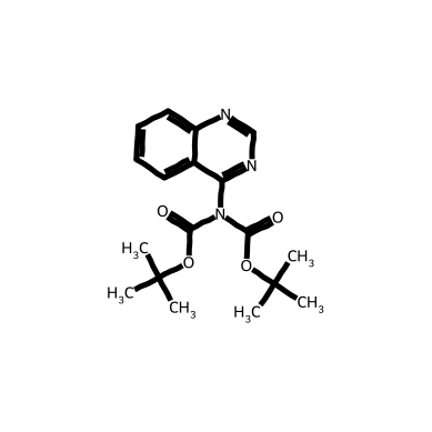 CC(C)(C)OC(=O)N(C(=O)OC(C)(C)C)c1ncnc2ccccc12